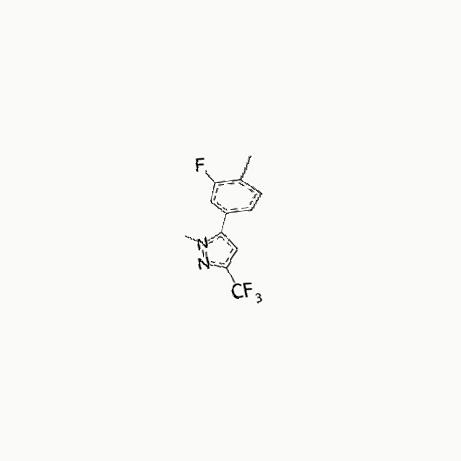 Cc1ccc(-c2cc(C(F)(F)F)nn2C)cc1F